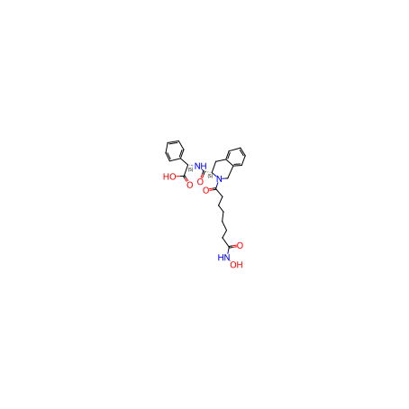 O=C(CCCCCCC(=O)N1Cc2ccccc2C[C@H]1C(=O)N[C@H](C(=O)O)c1ccccc1)NO